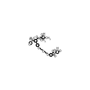 CCN(c1cc(-c2ccc(OCCCOCCCOc3ccc4c(c3)C(=O)N(C3CCC(=O)NC3=O)C4=O)cc2)cc(C(=O)NCc2c(C)cc(C)[nH]c2=O)c1C)C1CCOCC1